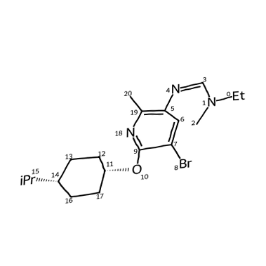 CCN(C)/C=N\c1cc(Br)c(O[C@H]2CC[C@@H](C(C)C)CC2)nc1C